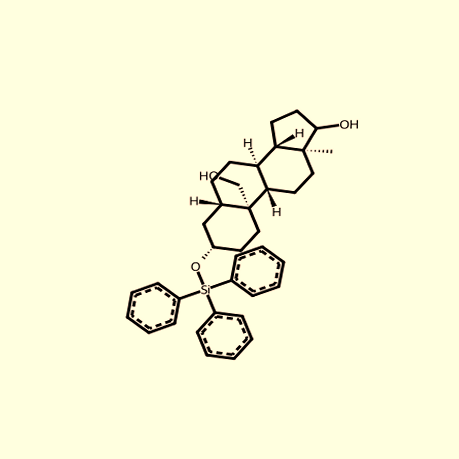 C[C@]12CC[C@H]3[C@@H](CC[C@H]4C[C@@H](O[Si](c5ccccc5)(c5ccccc5)c5ccccc5)CC[C@@]43CO)[C@@H]1CCC2O